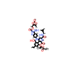 C=Cc1cc(C(O)Nc2ccc(C(=N)NC(=O)OCc3oc(=O)oc3C)cc2)c(-c2ccc(C(=O)NCC3CC3)nc2C(=O)OC(C)OC(=O)C(C)C)cc1OC